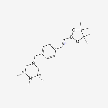 C[C@@H]1CN(Cc2ccc(/C=C/B3OC(C)(C)C(C)(C)O3)cc2)C[C@H](C)N1C